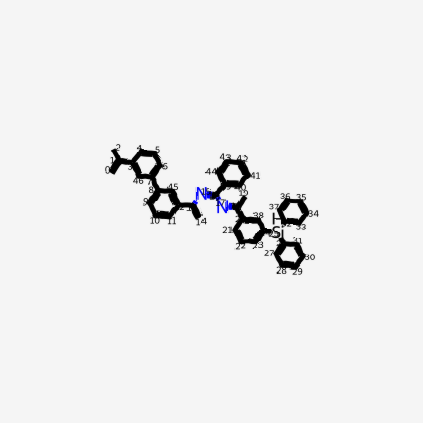 C=C(C)c1cccc(-c2cccc(C(=C)/N=C(\N=C(/C)c3cccc([SiH](c4ccccc4)c4ccccc4)c3)c3ccccc3)c2)c1